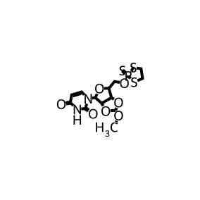 COC1OC2C(COP3(=S)SCCS3)OC(n3ccc(=O)[nH]c3=O)C2O1